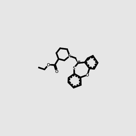 CCOC(=O)C1CCCN(C[C@@H]2Sc3ccccc3Oc3ccccc32)C1